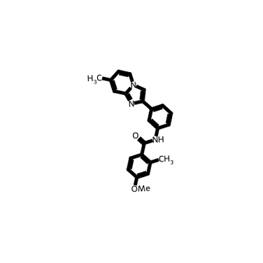 COc1ccc(C(=O)Nc2cccc(-c3cn4ccc(C)cc4n3)c2)c(C)c1